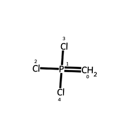 C=P(Cl)(Cl)Cl